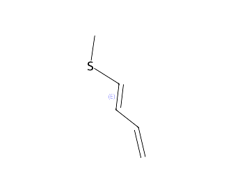 C=C/C=C/SC